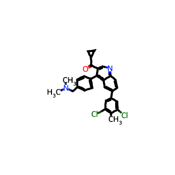 Cc1c(Cl)cc(-c2ccc3ncc(C(=O)C4CC4)c(-c4ccc(CN(C)C)cc4)c3c2)cc1Cl